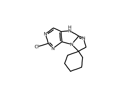 Clc1ncc2c(n1)N1C(=NCC13CCCCC3)N2